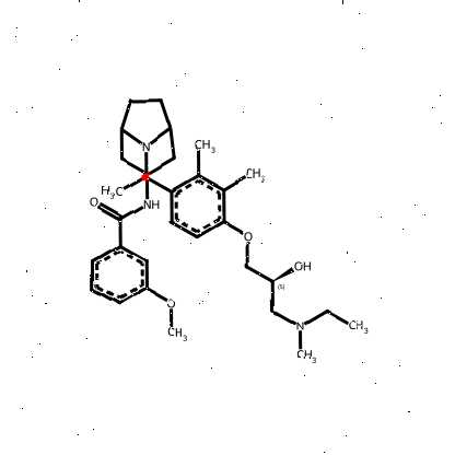 CCN(C)C[C@H](O)COc1ccc(C(C)N2C3CCC2CC(NC(=O)c2cccc(OC)c2)C3)c(C)c1C